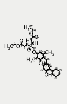 CCOC(=O)CNP(=O)(COc1cc(C)c(Cc2ccc(O)c(C3CCCCC3)n2)c(C)c1C)NCC(=O)OCC